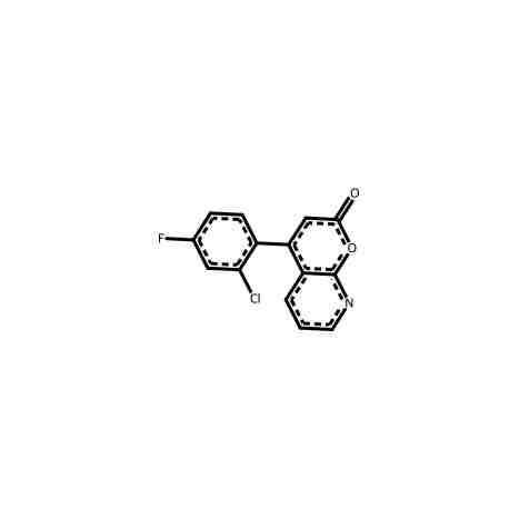 O=c1cc(-c2ccc(F)cc2Cl)c2cccnc2o1